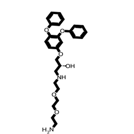 NCCOCCOCCNC[C@@H](O)COc1ccc(Oc2ccccc2)c(Oc2ccccc2)c1